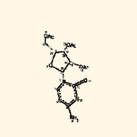 CC(=O)OC[C@H]1O[C@@H](n2cnc(N)nc2=O)[C@@H](OC(C)=O)[C@H]1OC(C)=O